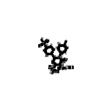 Cc1ccc(-n2c(-c3ccc(S(C)(=O)=O)cc3)nc(S(C)(=O)=O)c(NC=O)c2=O)cc1